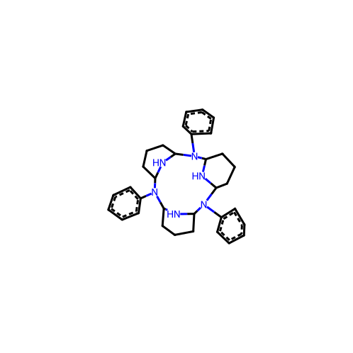 c1ccc(N2C3CCCC(N3)N(c3ccccc3)C3CCCC(N3)N(c3ccccc3)C3CCCC2N3)cc1